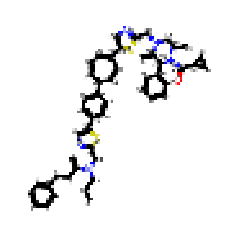 C=C(CCc1ccccc1)N(CCC)Cc1ncc(-c2ccc(C3C=CC=C(c4cnc(CN(CCC)C(=C)[C@@H](NC(=O)C5CC5)c5ccccc5)s4)C=C3)cc2)s1